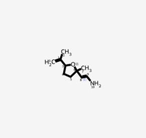 C=C(C)C1CCC(C)(/C=C/N)O1